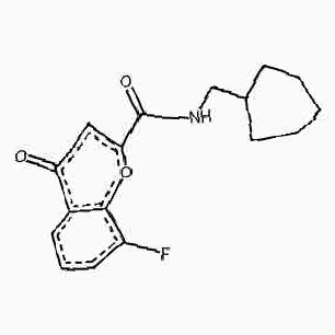 O=C(NCC1CCCCC1)c1cc(=O)c2cccc(F)c2o1